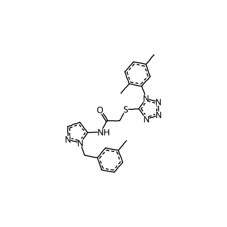 Cc1cccc(Cn2nccc2NC(=O)CSc2nnnn2-c2cc(C)ccc2C)c1